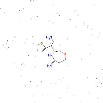 N=C1CCOCC(C(CN)c2cccs2)N1